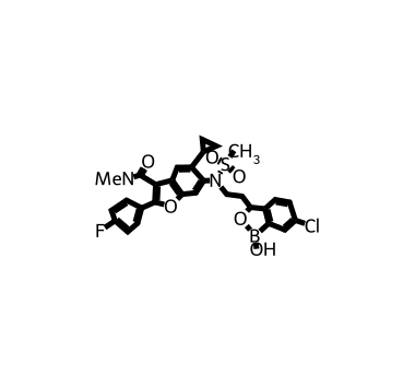 CNC(=O)c1c(-c2ccc(F)cc2)oc2cc(N(CCC3OB(O)c4cc(Cl)ccc43)S(C)(=O)=O)c(C3CC3)cc12